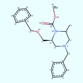 CC1CN(Cc2ccccc2)C[C@@H](COCc2ccccc2)N1C(=O)OC(C)(C)C